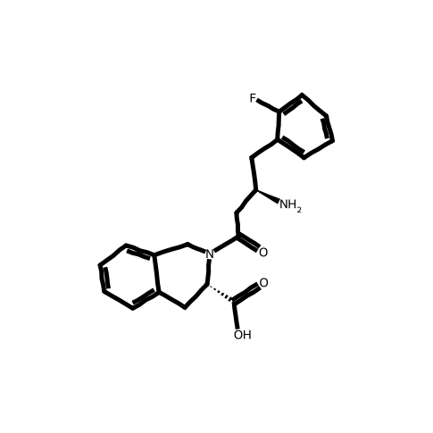 N[C@@H](CC(=O)N1Cc2ccccc2C[C@H]1C(=O)O)Cc1ccccc1F